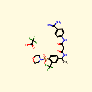 CC(NC(=O)CC(=O)Nc1ccc(C(=N)N)cc1)c1ccc(S(=O)(=O)N2CCOCC2)c(C(F)(F)F)c1.O=C(O)C(F)(F)F